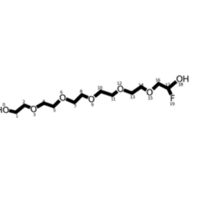 OCCOCCOCCOCCOCCOCC(O)F